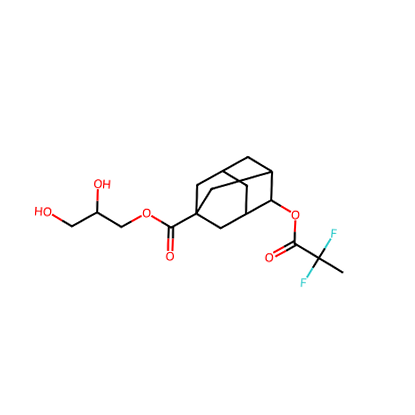 CC(F)(F)C(=O)OC1C2CC3CC1CC(C(=O)OCC(O)CO)(C3)C2